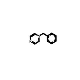 C1=CN(Cc2ccccc2)CC=P1